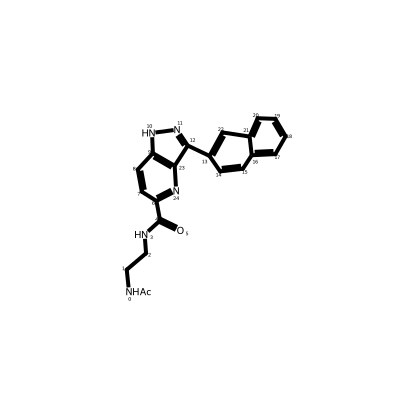 CC(=O)NCCNC(=O)c1ccc2[nH]nc(-c3ccc4ccccc4c3)c2n1